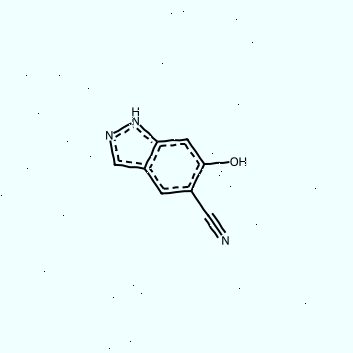 N#Cc1cc2cn[nH]c2cc1O